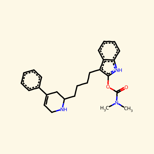 CN(C)C(=O)Oc1[nH]c2ccccc2c1CCCCC1CC(c2ccccc2)=CCN1